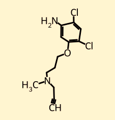 C#CCN(C)CCCOc1cc(N)c(Cl)cc1Cl